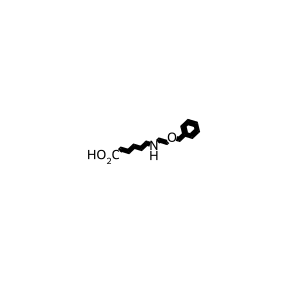 O=C(O)CCCCCNCCOCc1ccccc1